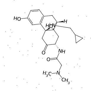 CN(C)CC(=O)N[C@H]1C[C@@]2(O)[C@H]3Cc4ccc(O)cc4[C@@]2(CCN3CC2CC2)CC1=O